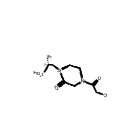 CC(C)[C@@H](C(=O)O)N1CCN(C(=O)CCl)CC1=O